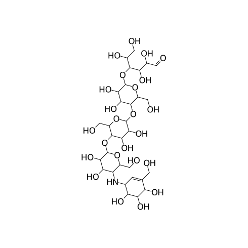 O=CC(O)C(O)C(OC1OC(CO)C(OC2OC(CO)C(OC3OC(CO)C(NC4C=C(CO)C(O)C(O)C4O)C(O)C3O)C(O)C2O)C(O)C1O)C(O)CO